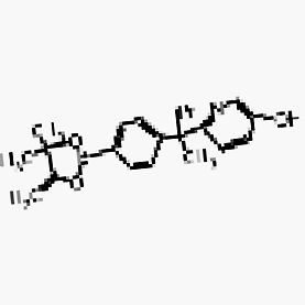 C=C1OB(c2ccc(C(C)(c3ccc(O)cn3)C(C)C)cc2)OC1(C)C